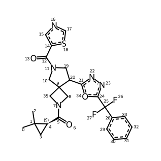 CC1(C)C[C@@H]1C(=O)N1CC2(CN(C(=O)c3cncs3)CC2c2nnc(C(F)(F)c3ccccc3)o2)C1